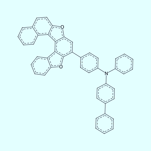 c1ccc(-c2ccc(N(c3ccccc3)c3ccc(-c4cc5oc6ccc7ccccc7c6c5c5c4oc4ccccc45)cc3)cc2)cc1